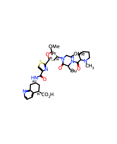 CCC(C)C(NC(=O)C1CCCCN1C)C(=O)N(CCOC)[C@H](C[C@@H](OCOC)c1nc(C(=O)N[C@H]2Cc3ncccc3[C@H](C(=O)O)C2)cs1)C(C)C